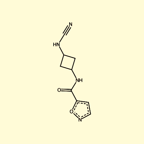 N#CNC1CC(NC(=O)c2ccno2)C1